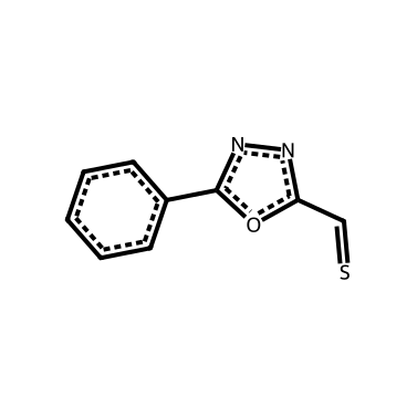 S=Cc1nnc(-c2ccccc2)o1